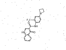 O=C(Nc1ccc(N2CCC2)cc1C(F)(F)F)c1c[nH]c2ccccc2c1=O